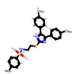 COc1ccc(-c2nc(SCCNS(=O)(=O)c3ccc(C(C)(C)C)cc3)[nH]c2-c2ccc(OC)cc2)cc1